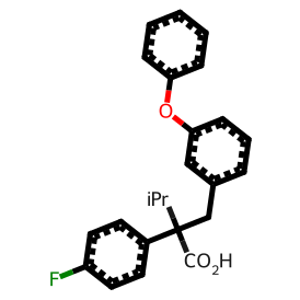 CC(C)C(Cc1cccc(Oc2ccccc2)c1)(C(=O)O)c1ccc(F)cc1